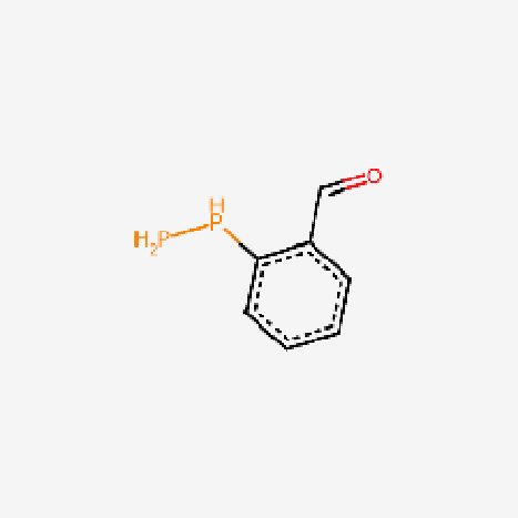 O=Cc1ccccc1PP